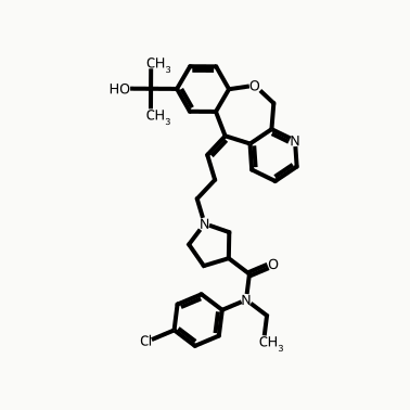 CCN(C(=O)C1CCN(CC/C=C2\c3cccnc3COC3C=CC(C(C)(C)O)=CC23)C1)c1ccc(Cl)cc1